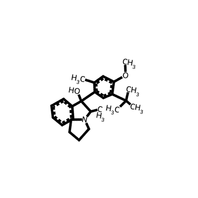 COc1cc(C)c(C(O)(c2ccccc2)C(C)N2CCCC2)cc1C(C)(C)C